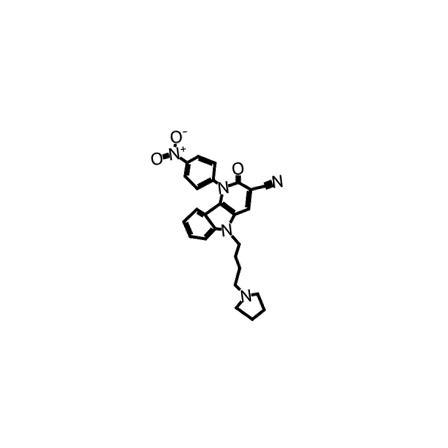 N#Cc1cc2c(c3ccccc3n2CCCCN2CCCC2)n(-c2ccc([N+](=O)[O-])cc2)c1=O